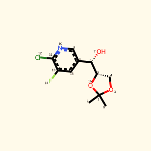 CC1(C)OC[C@@H]([C@@H](O)c2cnc(Cl)c(F)c2)O1